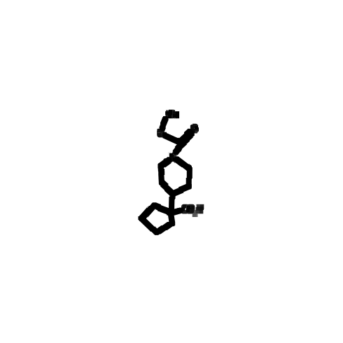 CC(C)(C)OC(=O)N1CCC(C2(C(=O)O)CCCC2)CC1